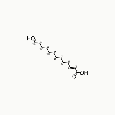 O=C(O)C=CCCCCCCCCCCO